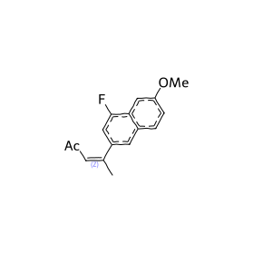 COc1ccc2cc(/C(C)=C\C(C)=O)cc(F)c2c1